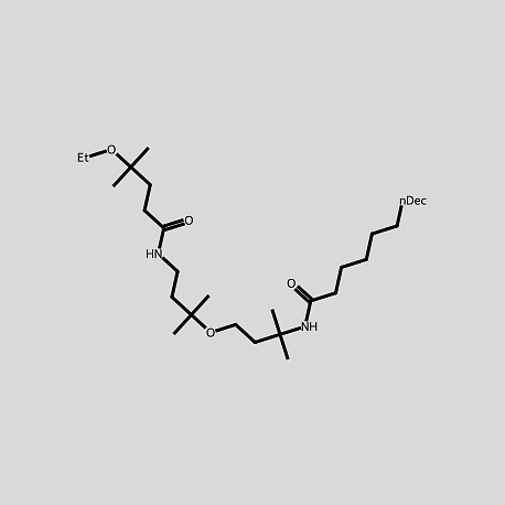 CCCCCCCCCCCCCCCC(=O)NC(C)(C)CCOC(C)(C)CCNC(=O)CCC(C)(C)OCC